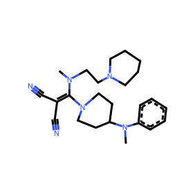 CN(CCN1CCCCC1)C(=C(C#N)C#N)N1CCC(N(C)c2ccccc2)CC1